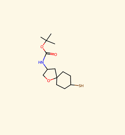 CC(C)(C)OC(=O)NC1COC2(CCC(S)CC2)C1